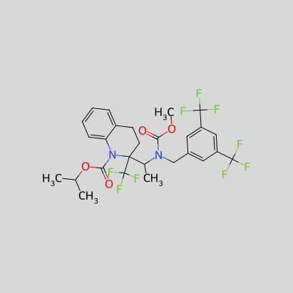 COC(=O)N(Cc1cc(C(F)(F)F)cc(C(F)(F)F)c1)C(C)C1(C(F)(F)F)CCc2ccccc2N1C(=O)OC(C)C